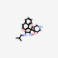 CC(C)CNC(=O)C1=NOC2(CCNCC2)C1(C=O)c1cccc2ccccc12